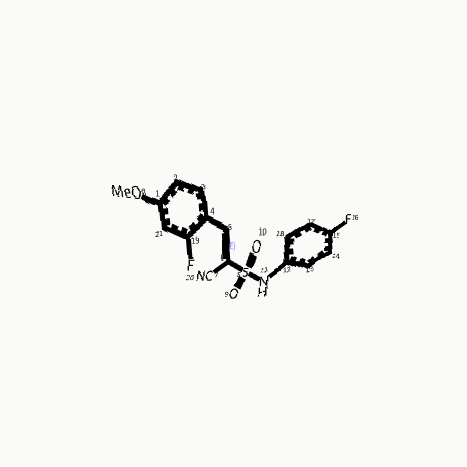 COc1ccc(/C=C(\C#N)S(=O)(=O)Nc2ccc(F)cc2)c(F)c1